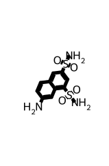 Nc1ccc2cc(S(N)(=O)=O)cc(S(N)(=O)=O)c2c1